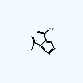 C=C(CCC)c1ccccc1C(=C)CCC